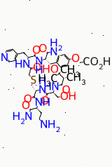 C[C@H](C(=O)N[C@@H](CO)C(=O)N[C@@H](CSCC(=O)N[C@@H](Cc1ccncc1)C(=O)N[C@@H](Cc1ccc(OCC(=O)O)cc1)C(N)=O)C(=O)N[C@@H](CCN)C(N)=O)C(C)(C)O